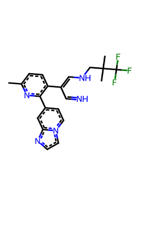 Cc1ccc(/C(C=N)=C/NCC(C)(C)C(F)(F)F)c(-c2ccn3ccnc3c2)n1